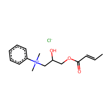 CC=CC(=O)OCC(O)C[N+](C)(C)c1ccccc1.[Cl-]